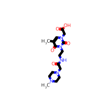 Cc1cn(CC(=O)O)c(=O)n(CCNC(=O)CN2CCN(C)CC2)c1=O